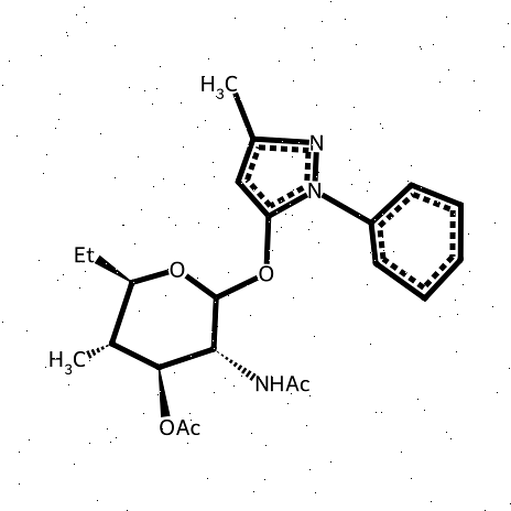 CC[C@H]1OC(Oc2cc(C)nn2-c2ccccc2)[C@H](NC(C)=O)[C@@H](OC(C)=O)[C@@H]1C